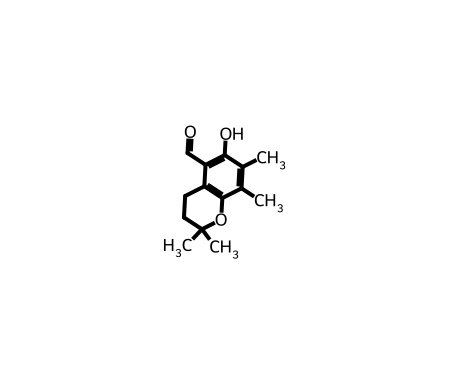 Cc1c(C)c2c(c(C=O)c1O)CCC(C)(C)O2